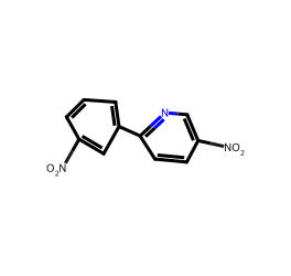 O=[N+]([O-])c1ccc(-c2cccc([N+](=O)[O-])c2)nc1